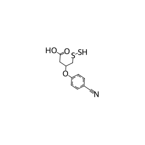 N#Cc1ccc(OC(CSS)CC(=O)O)cc1